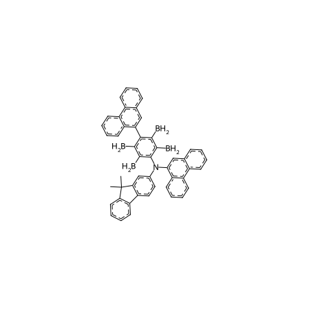 Bc1c(B)c(N(c2ccc3c(c2)C(C)(C)c2ccccc2-3)c2cc3ccccc3c3ccccc23)c(B)c(B)c1-c1cc2ccccc2c2ccccc12